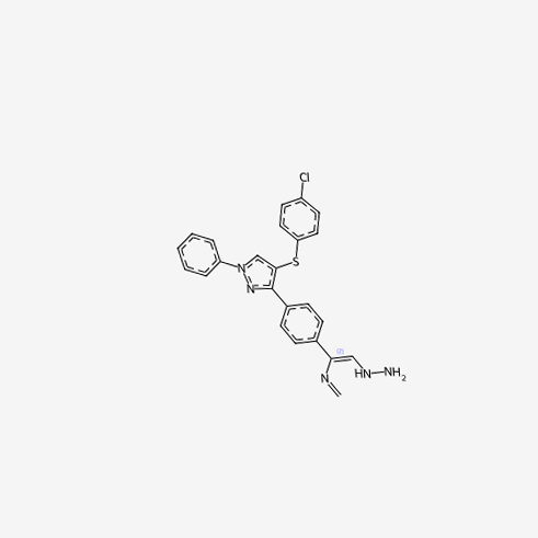 C=N/C(=C\NN)c1ccc(-c2nn(-c3ccccc3)cc2Sc2ccc(Cl)cc2)cc1